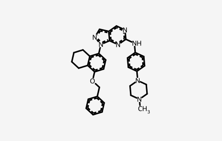 CN1CCN(c2ccc(Nc3ncc4cnn(-c5ccc(OCc6ccccc6)c6c5CCCC6)c4n3)cc2)CC1